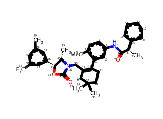 COc1ccc(NC(=O)[C@@H](C)c2ccccc2)cc1C1=C(CN2C(=O)O[C@H](c3cc(C)cc(C(F)(F)F)c3)[C@@H]2C)CC(C)(C)CC1